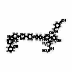 C#Cc1ccc(CNC(=O)[C@@H]2C[C@@H](O)CN2C(=O)[C@@H](NC(=O)N2CC3(CC(N4CCC(c5cnc(N6CCc7[nH]c8nnc(-c9ccccc9O)cc8c7[C@H]6C)nc5)CC4)C3)C2)C(C)(C)CCNC(=O)O)cc1